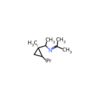 CC(C)=NC(C)[C@]1(C)CC1C(C)C